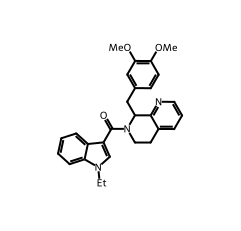 CCn1cc(C(=O)N2CCc3cccnc3C2Cc2ccc(OC)c(OC)c2)c2ccccc21